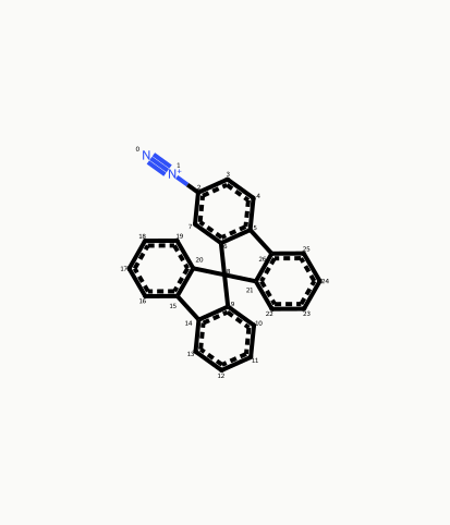 N#[N+]c1ccc2c(c1)C1(c3ccccc3-c3ccccc31)c1ccccc1-2